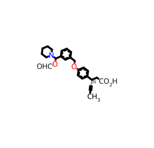 CC#C[C@@H](CC(=O)O)c1ccc(OCc2cccc(C(OC=O)N3CCCCC3)c2)cc1